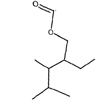 CCC(CO[C]=O)C(C)C(C)C